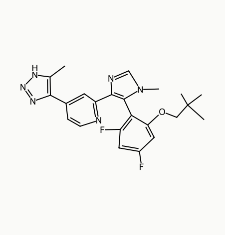 Cc1[nH]nnc1-c1ccnc(-c2ncn(C)c2-c2c(F)cc(F)cc2OCC(C)(C)C)c1